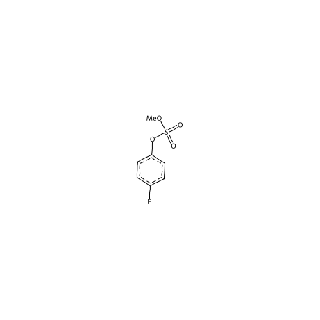 COS(=O)(=O)Oc1ccc(F)cc1